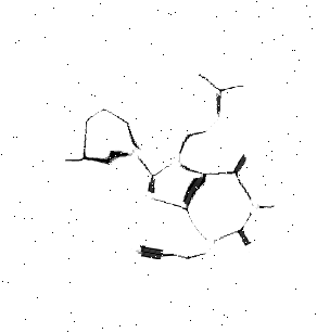 CC(C)=CCn1c(N2CCCC(N)C2)nc2c1c(=O)n(C)c(=O)n2CC#N